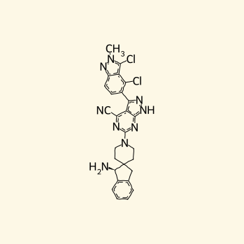 Cn1nc2ccc(-c3n[nH]c4nc(N5CCC6(CC5)Cc5ccccc5[C@H]6N)nc(C#N)c34)c(Cl)c2c1Cl